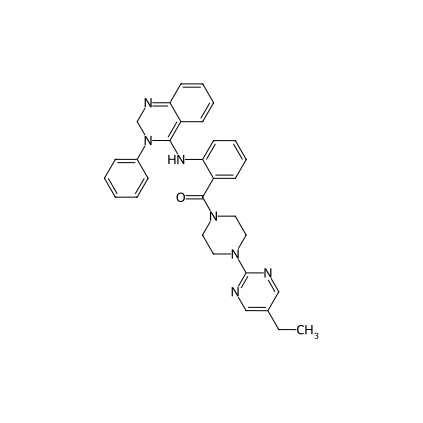 CCc1cnc(N2CCN(C(=O)c3ccccc3NC3=c4ccccc4=NCN3c3ccccc3)CC2)nc1